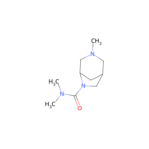 CN1CC2CC(C1)N(C(=O)N(C)C)C2